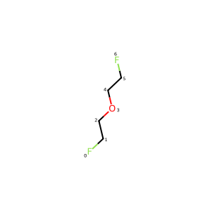 FCCOCCF